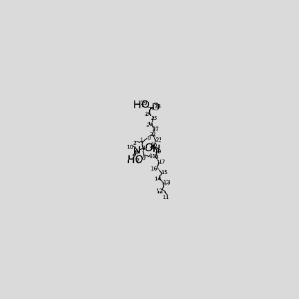 CC(C)C(O)(C(C)O)N(C)C.CCCCCCCCCCCCCCCCC(=O)O